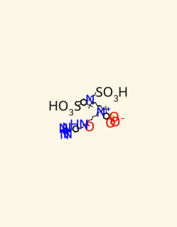 CC1(C)C(/C=C/C=C2/N(CCCS(=O)(=O)O)c3ccc(S(=O)(=O)O)cc3C2(C)C)=[N+](CCCCCC(=O)NCc2ccc(-c3nncnn3)cc2)c2ccc(S(=O)(=O)[O-])cc21